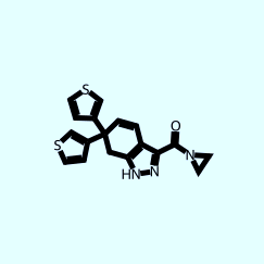 O=C(c1n[nH]c2c1C=CC(c1ccsc1)(c1ccsc1)C2)N1CC1